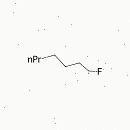 [CH2]CCCCC[CH]F